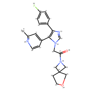 [2H]c1cc(-c2c(-c3ccc(F)cc3)ncn2CC(=O)N2CC3(CCOC3)C2)ccn1